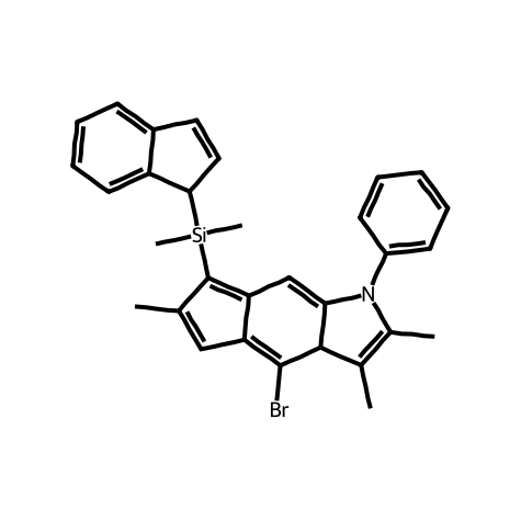 CC1=CC2=C(Br)C3C(=CC2=C1[Si](C)(C)C1C=Cc2ccccc21)N(c1ccccc1)C(C)=C3C